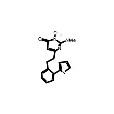 CNc1nc(CCc2ccccc2-c2cccs2)cc(=O)n1C